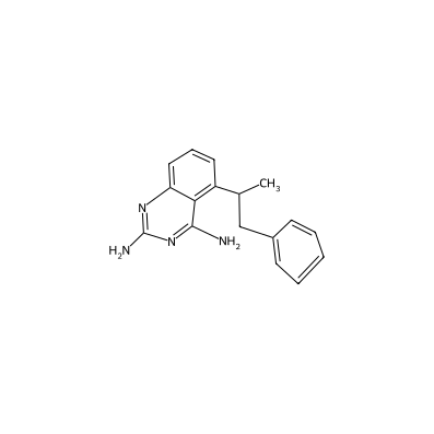 CC(Cc1ccccc1)c1cccc2nc(N)nc(N)c12